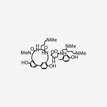 CNCCC[C@@H](CNC(=O)[C@H](Cc1ccc(O)cc1)NC(=O)[C@@H]1Cc2cc(ccc2O)-c2ccc(O)c(c2)C[C@H](NC)C(=O)N[C@@H](CCCNC)C(=O)N1)NC